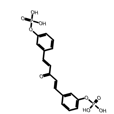 O=C(/C=C/c1cccc(OP(=O)(O)O)c1)/C=C/c1cccc(OP(=O)(O)O)c1